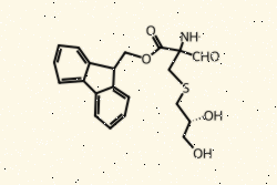 [NH]C(C=O)(CSC[C@H](O)CO)C(=O)OCC1c2ccccc2-c2ccccc21